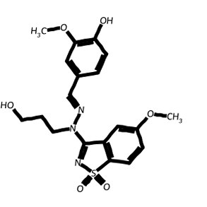 COc1ccc2c(c1)C(N(CCCO)N=Cc1ccc(O)c(OC)c1)=NS2(=O)=O